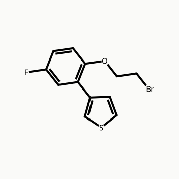 Fc1ccc(OCCBr)c(-c2ccsc2)c1